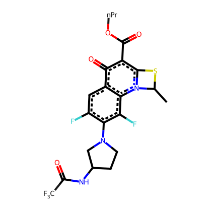 CCCOC(=O)c1c2n(c3c(F)c(N4CCC(NC(=O)C(F)(F)F)C4)c(F)cc3c1=O)C(C)S2